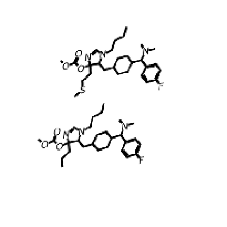 CCCCN1C=NC(CCC)(OC(=O)OC)C1CC1CCC(C(c2ccc(F)cc2)N(C)C)CC1.CCCCN1C=NC(CCSC)(OC(=O)OC)C1CC1CCC(C(c2ccc(F)cc2)N(C)C)CC1